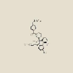 CCc1cccc(-c2c(Cl)cccc2[C@](O)(CCCCOC)[C@@H]2CCCN(C(=O)c3ccc(CNC)cc3)C2)c1